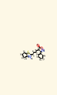 CN1/C(=C/C=C/C=C2/C(=O)ON=C2c2ccccc2)Sc2ccccc21